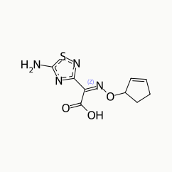 Nc1nc(/C(=N/OC2C=CCC2)C(=O)O)ns1